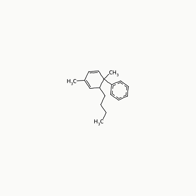 CCCCC1C=C(C)C=CC1(C)c1ccccc1